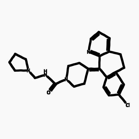 O=C(NCN1CCCC1)N1CCC(=C2c3ccc(Cl)cc3CCc3cccnc32)CC1